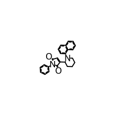 O=C1C=C(C2CCCCN2c2cccc3ccccc23)C(=O)N1c1ccccc1